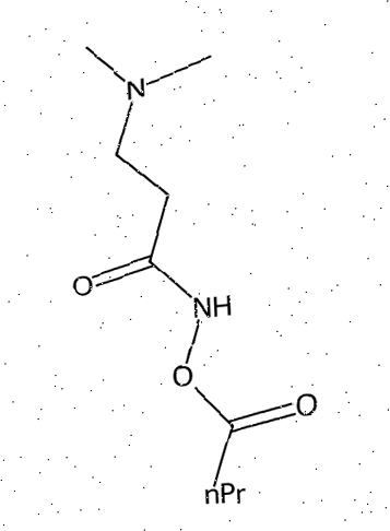 CCCC(=O)ONC(=O)CCN(C)C